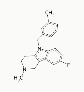 Cc1cccc(Cn2c3c(c4cc(F)ccc42)CN(C)CC3)c1